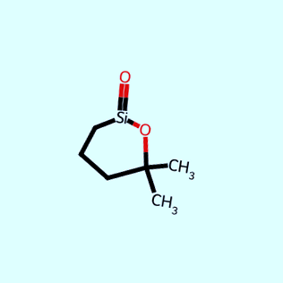 CC1(C)CCC[Si](=O)O1